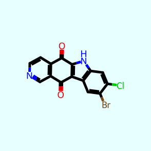 O=C1c2ccncc2C(=O)c2c1[nH]c1cc(Cl)c(Br)cc21